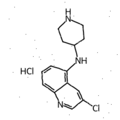 Cl.Clc1cnc2cccc(NC3CCNCC3)c2c1